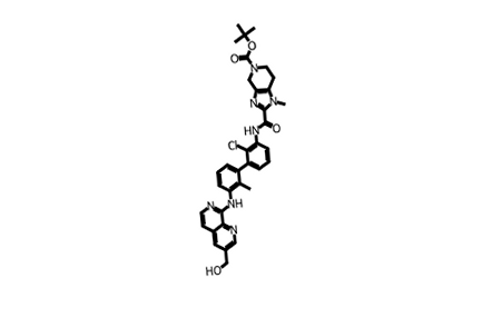 Cc1c(Nc2nccc3cc(CO)cnc23)cccc1-c1cccc(NC(=O)c2nc3c(n2C)CCN(C(=O)OC(C)(C)C)C3)c1Cl